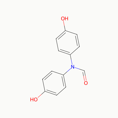 O=CN(c1ccc(O)cc1)c1ccc(O)cc1